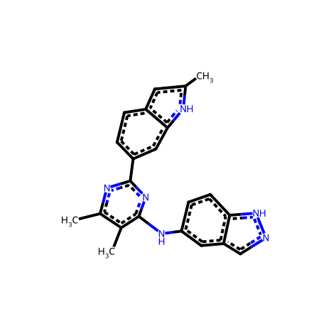 Cc1cc2ccc(-c3nc(C)c(C)c(Nc4ccc5[nH]ncc5c4)n3)cc2[nH]1